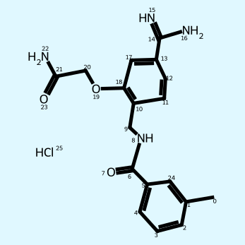 Cc1cccc(C(=O)NCc2ccc(C(=N)N)cc2OCC(N)=O)c1.Cl